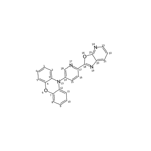 c1ccc2c(c1)Oc1ccccc1N2c1ccc(-c2nc3cccnc3o2)nc1